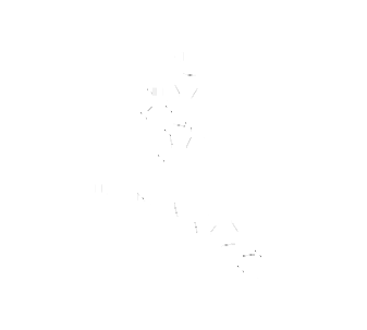 CCN1CC(/C=C/c2cc3cc(C(=N)N)ccc3o2)C(CNc2cc(C)nc(N(C(=N)N)c3ccc(Cl)c(Cl)c3)n2)C1